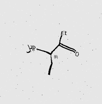 CCC(=O)[C@@H](C)PC